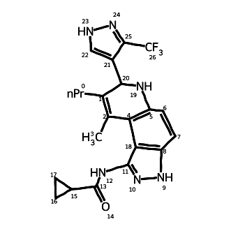 CCCC1=C(C)c2c(ccc3[nH]nc(NC(=O)C4CC4)c23)NC1c1c[nH]nc1C(F)(F)F